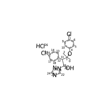 CC(C)(Oc1ccc(Cl)cc1)C(c1ccc(Cl)cc1)C(O)n1cncn1.Cl